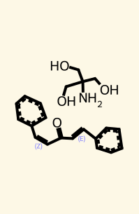 NC(CO)(CO)CO.O=C(/C=C\c1ccccc1)/C=C/c1ccccc1